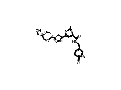 Cc1nc(C(=O)NCc2ccc(=O)n(C)c2)cc(C2=NO[C@@H]([C@H]3CO[C@H](CO)CO3)C2)n1